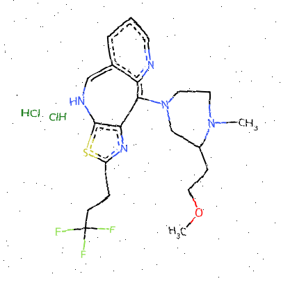 COCCC1CN(C2=c3ncccc3=CNc3sc(CCC(F)(F)F)nc32)CCN1C.Cl.Cl